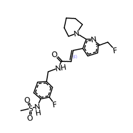 CS(=O)(=O)Nc1ccc(CNC(=O)/C=C/c2ccc(CF)nc2N2CCCCC2)cc1F